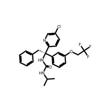 CC(C)NC(=O)N[C@](Cc1ccccc1)(c1cccc(OCC(F)(F)F)c1)c1ccc(Cl)cn1